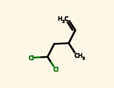 C=CC(C)CC(Cl)Cl